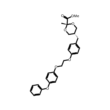 COC(=O)[C@]1(C)OC[C@H](Cc2ccc(OCCOc3ccc(Oc4ccccc4)cc3)cc2)CO1